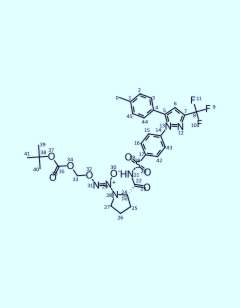 Cc1ccc(-c2cc(C(F)(F)F)nn2-c2ccc(S(=O)(=O)NC(=O)[C@@H]3CCCN3[N+]([O-])=NOCOC(=O)OC(C)(C)C)cc2)cc1